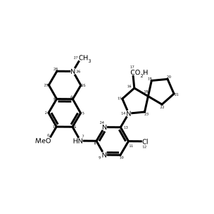 COc1cc2c(cc1Nc1ncc(Cl)c(N3CC(C(=O)O)C4(CCCC4)C3)n1)CN(C)CC2